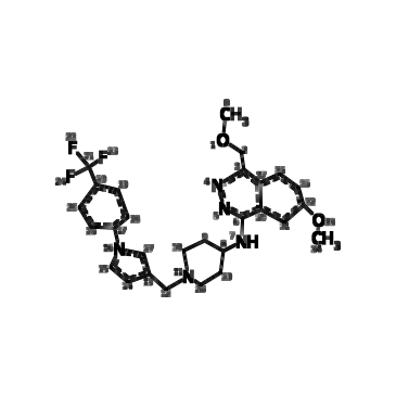 COCc1nnc(NC2CCN(Cc3ccn(-c4ccc(C(F)(F)F)cc4)c3)CC2)c2cc(OC)ccc12